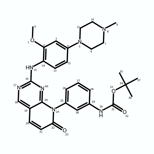 COc1cc(N2CCN(C)CC2)ccc1Nc1ncc2ccc(=O)n(-c3cccc(NC(=O)OC(C)(C)C)c3)c2n1